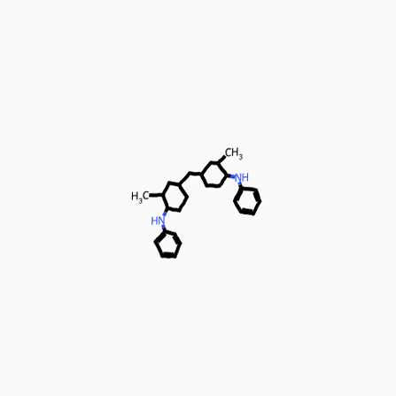 CC1CC(CC2CCC(Nc3ccccc3)C(C)C2)CCC1Nc1ccccc1